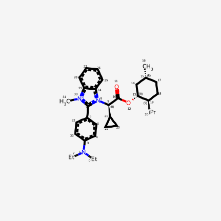 CCN(CC)c1ccc(-c2n([C@@H](C(=O)O[C@@H]3C[C@H](C)CC[C@H]3C(C)C)C3CC3)c3ccccc3[n+]2C)cc1